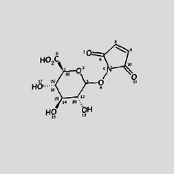 O=C(O)[C@H]1OC(ON2C(=O)C=CC2=O)[C@H](O)[C@@H](O)[C@@H]1O